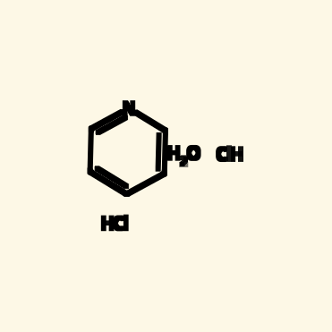 Cl.Cl.O.c1ccncc1